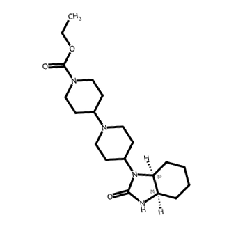 CCOC(=O)N1CCC(N2CCC(N3C(=O)N[C@@H]4CCCC[C@@H]43)CC2)CC1